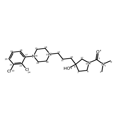 CN(C)C(=O)N1CCC(O)(CCCN2CCN(c3cccc(Cl)c3Cl)CC2)C1